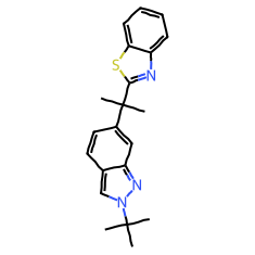 CC(C)(c1ccc2cn(C(C)(C)C)nc2c1)c1nc2ccccc2s1